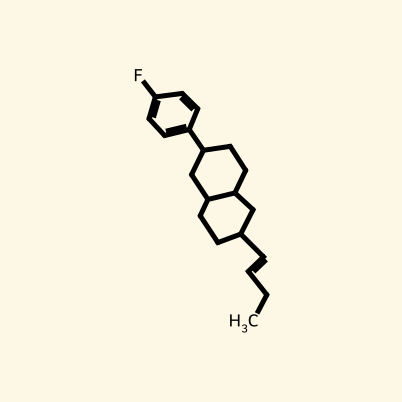 CC/C=C/C1CCC2CC(c3ccc(F)cc3)CCC2C1